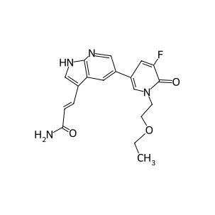 CCOCCn1cc(-c2cnc3[nH]cc(C=CC(N)=O)c3c2)cc(F)c1=O